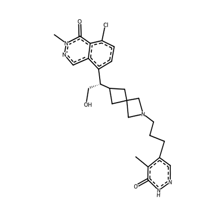 Cc1c(CCCN2CC3(CC([C@H](CO)c4ccc(Cl)c5c(=O)n(C)ncc45)C3)C2)cn[nH]c1=O